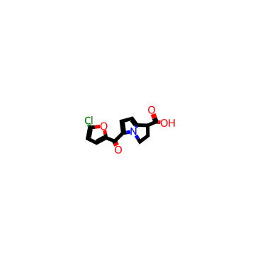 O=C(c1ccc(Cl)o1)c1ccc2n1CCC2C(=O)O